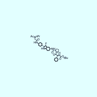 CCCN(CC(=O)Nc1ccc(-c2[nH]c3ccc(NC(=O)[C@@H]4CCCN4C(=O)[C@@H](NC(=O)OC(C)(C)C)c4ccccc4)cc3c2F)cc1)C(C)=O